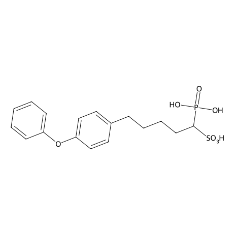 O=P(O)(O)C(CCCCc1ccc(Oc2ccccc2)cc1)S(=O)(=O)O